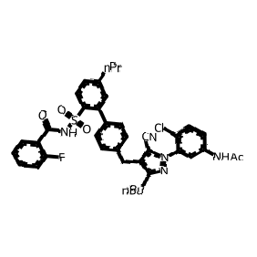 CCCCc1nn(-c2cc(NC(C)=O)ccc2Cl)c(C#N)c1Cc1ccc(-c2cc(CCC)ccc2S(=O)(=O)NC(=O)c2ccccc2F)cc1